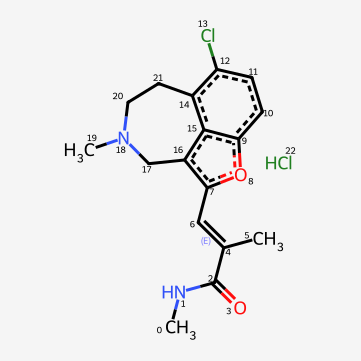 CNC(=O)/C(C)=C/c1oc2ccc(Cl)c3c2c1CN(C)CC3.Cl